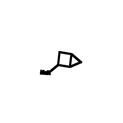 CNC1CC2CC21